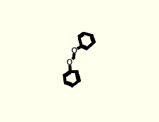 [c]1ccc(OCOc2ccccc2)cc1